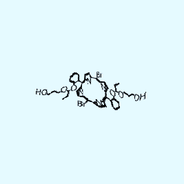 CCC(OCCCO)Oc1ccccc1C1=C2C=CC(=N2)C(Br)=C2C=CC(=N2)C(c2ccccc2OC(CC)OCCCO)=C2C=CC(=N2)C(Br)=C2C=CC1=N2